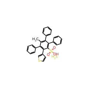 Cc1c(-c2ccccc2)c(-c2ccccc2)c(S(=O)(=O)O)c(-c2ccsc2)c1-c1ccccc1.S